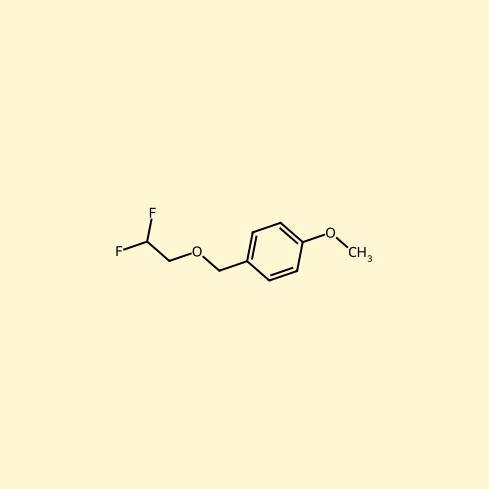 COc1ccc(COCC(F)F)cc1